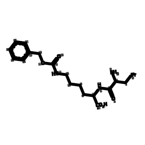 CC(C)CC(N)C(=O)NC(CCCCNC(=O)OCc1ccccc1)C(=O)O